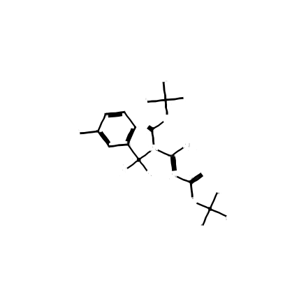 Cc1cccc(C(N)(N)N(C(=O)OC(C)(C)C)C(N)=NC(=O)OC(C)(C)C)c1